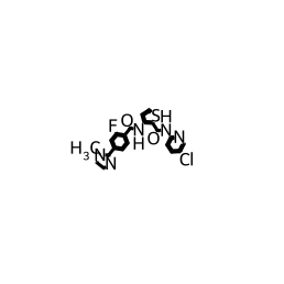 CN1CCN=C1c1ccc(C(=O)Nc2ccsc2C(=O)Nc2ccc(Cl)cn2)c(F)c1